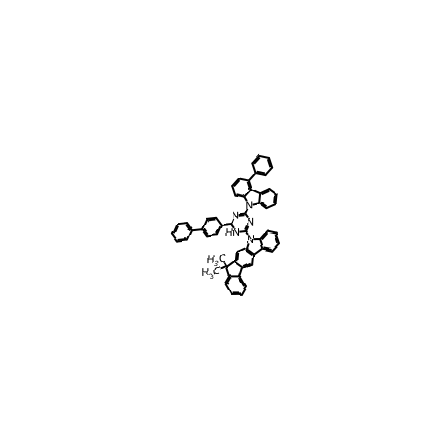 CC1(C)c2ccccc2-c2cc3c4ccccc4n(C4=NC(n5c6ccccc6c6c(-c7ccccc7)cccc65)=NC(c5ccc(-c6ccccc6)cc5)N4)c3cc21